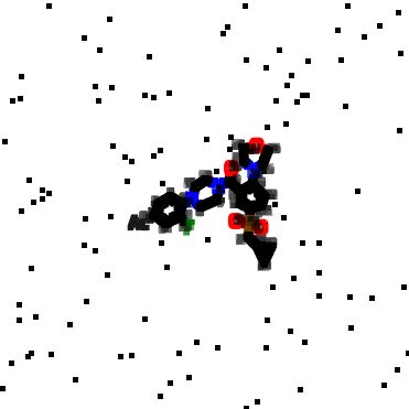 CC(=O)c1ccc(N2CCN(C(=O)c3cc(S(=O)(=O)CC4CC4)ccc3N3CCOCC3)CC2)c(F)c1